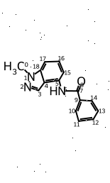 Cn1ncc2c(NC(=O)c3ccccc3)cccc21